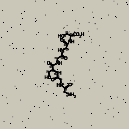 NCC(=O)NCC(=O)NC(CO)C(=O)NCC(=O)NCC(=O)NC(CO)C(=O)O